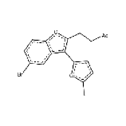 CC(=O)CCc1oc2ccc(Br)cc2c1-c1ccc(C)o1